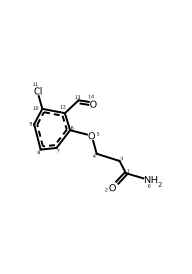 NC(=O)CCOc1cccc(Cl)c1C=O